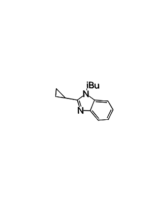 CCC(C)n1c(C2CC2)nc2ccccc21